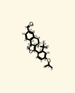 CC(C)Oc1ccc(-c2onc3c2CCc2cc(C=O)ccc2-3)c(C(F)(F)F)c1